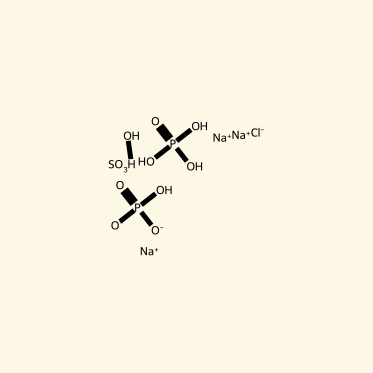 O=P(O)(O)O.O=P([O-])([O-])O.O=S(=O)(O)O.[Cl-].[Na+].[Na+].[Na+]